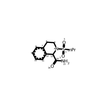 CCCS(=O)(=O)N1CCc2c[c]ccc2C1C(N)=O